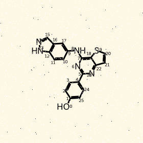 Oc1ccc(-c2nc(Nc3ccc4[nH]ncc4c3)c3sccc3n2)cc1